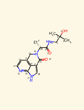 CC[C@H](C(=O)NCC(C)(C)O)N1Cc2ccnc3[nH]cc(c23)C1=O